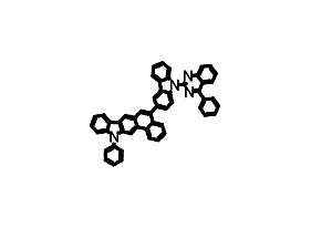 c1ccc(-c2nc(-n3c4ccccc4c4cc(-c5cc6cc7c8ccccc8n(-c8ccccc8)c7cc6c6ccccc56)ccc43)nc3ccccc23)cc1